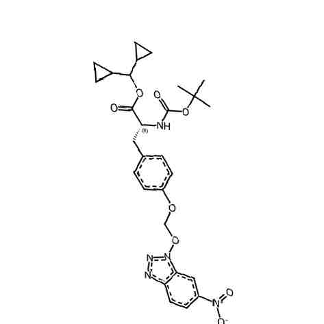 CC(C)(C)OC(=O)N[C@H](Cc1ccc(OCOn2nnc3ccc([N+](=O)[O-])cc32)cc1)C(=O)OC(C1CC1)C1CC1